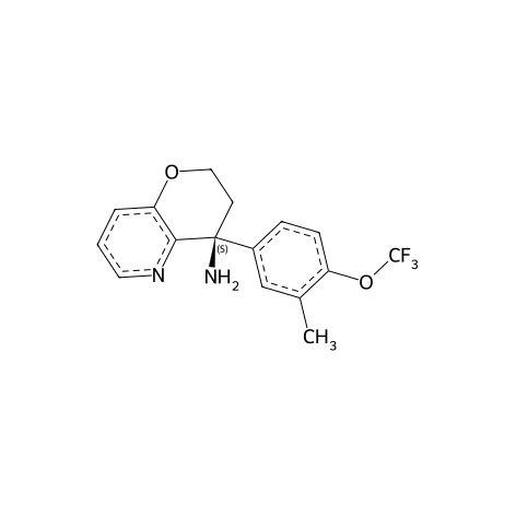 Cc1cc([C@@]2(N)CCOc3cccnc32)ccc1OC(F)(F)F